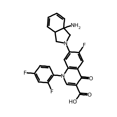 NC12C=CC=CC1CN(c1cc3c(cc1F)c(=O)c(C(=O)O)cn3-c1ccc(F)cc1F)C2